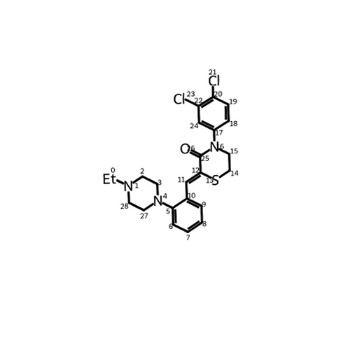 CCN1CCN(c2ccccc2/C=C2\SCCN(c3ccc(Cl)c(Cl)c3)C2=O)CC1